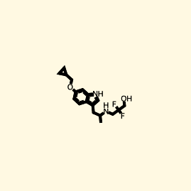 CC(Cc1c[nH]c2cc(OCC3CC3)ccc12)NCC(F)(F)CO